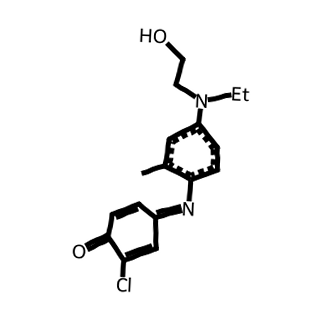 CCN(CCO)c1ccc(N=C2C=CC(=O)C(Cl)=C2)c(C)c1